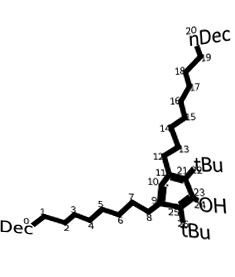 CCCCCCCCCCCCCCCCCCc1[c]c(CCCCCCCCCCCCCCCCCC)c(C(C)(C)C)c(O)c1C(C)(C)C